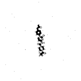 CC(=O)Cc1ccc(-n2ccc(NC(=O)N3CCN(C(=O)C(F)(F)F)CC3)nc2=O)cc1